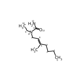 CCCC/C(C)=C/CN(CC)C(N)=O